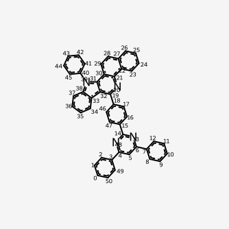 c1ccc(-c2cc(-c3ccccc3)nc(-c3ccc(-c4nc5c6ccccc6ccc5c5c4c4ccccc4n5-c4ccccc4)cc3)n2)cc1